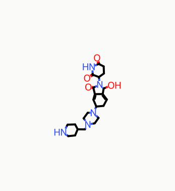 O=C1CCC(N2C(=O)C3=CC(N4CCN(CC5CCNCC5)CC4)CC=C3C2O)C(=O)N1